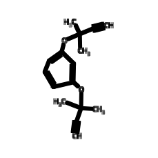 C#CC(C)(C)Oc1[c]ccc(OC(C)(C)C#C)c1